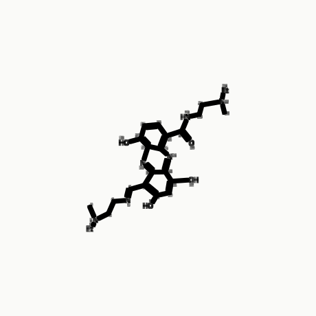 CCN(C)CCN=Cc1c(O)cc(O)c2nc3c(C(=O)NCCN(C)CC)ccc(O)c3nc12